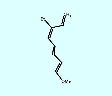 C=CC(=CC=CC=COC)CC